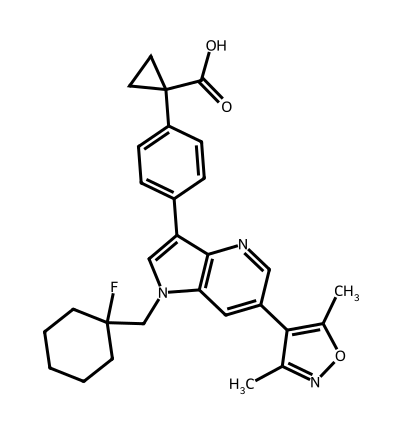 Cc1noc(C)c1-c1cnc2c(-c3ccc(C4(C(=O)O)CC4)cc3)cn(CC3(F)CCCCC3)c2c1